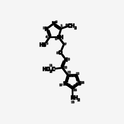 CC1=NN=C(S)[SH]1CO/N=C(\C(=O)O)c1csc(N)n1